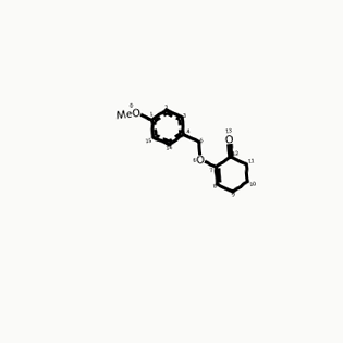 COc1ccc(COC2=CCCCC2=O)cc1